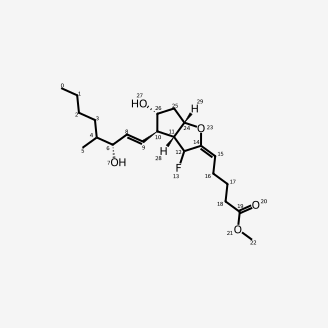 CCCCC(C)[C@@H](O)C=C[C@@H]1[C@H]2C(F)C(=CCCCC(=O)OC)O[C@H]2C[C@H]1O